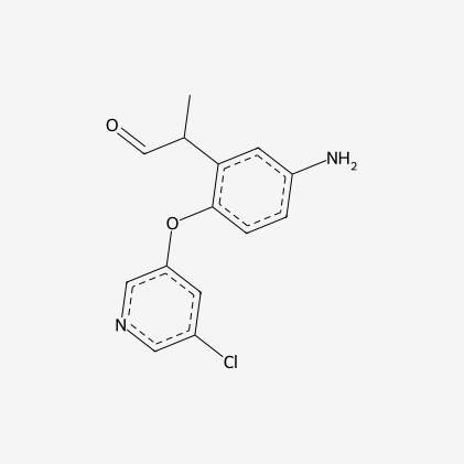 CC(C=O)c1cc(N)ccc1Oc1cncc(Cl)c1